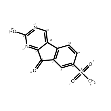 O=C1c2cc(S(=O)(=O)C(F)(F)F)ccc2-c2cnc(O)nc21